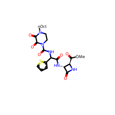 CCCCCCCCN1CCN(C(=O)NC(C(=O)N[C@H]2C(=O)N[C@@H]2C(=O)OC)c2cccs2)C(=O)C1=O